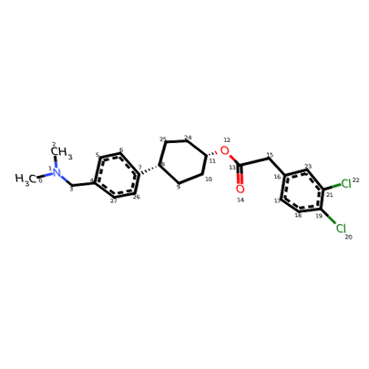 CN(C)Cc1ccc([C@H]2CC[C@@H](OC(=O)Cc3ccc(Cl)c(Cl)c3)CC2)cc1